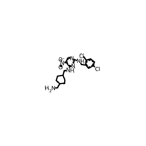 NCC1CCC(CNc2nc(NCc3cc(Cl)ccc3Cl)ncc2[N+](=O)[O-])CC1